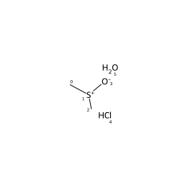 C[S+](C)[O-].Cl.O